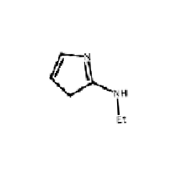 CCNC1=NC=CC1